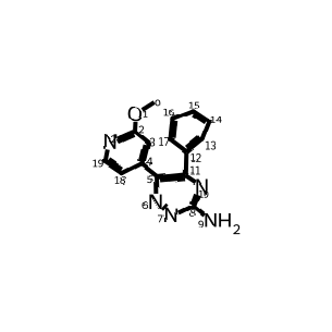 COc1cc(-c2nnc(N)nc2-c2ccccc2)ccn1